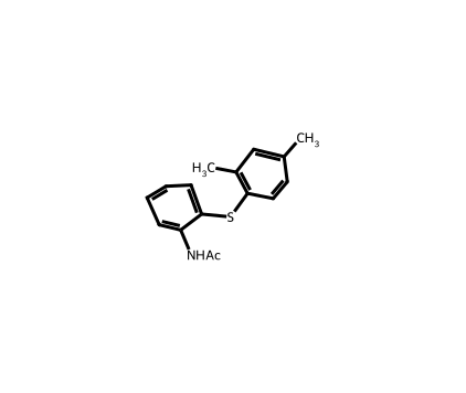 CC(=O)Nc1ccccc1Sc1ccc(C)cc1C